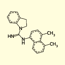 Cc1cccc2c(NC(=N)N3CCc4ccccc43)ccc(C)c12